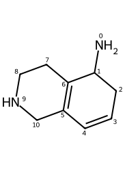 NC1CC=CC2=C1CCNC2